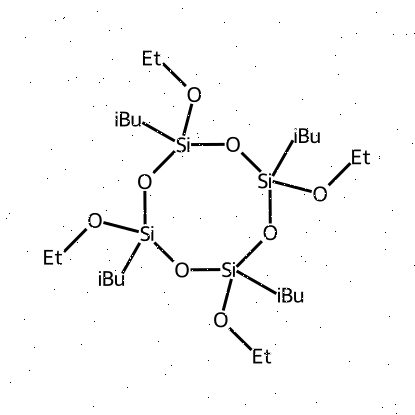 CCO[Si]1(C(C)CC)O[Si](OCC)(C(C)CC)O[Si](OCC)(C(C)CC)O[Si](OCC)(C(C)CC)O1